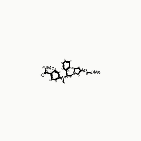 CNC(=O)c1ccc(N(C)C(CN2CCC(OCOC)C2)c2ccccc2)cc1